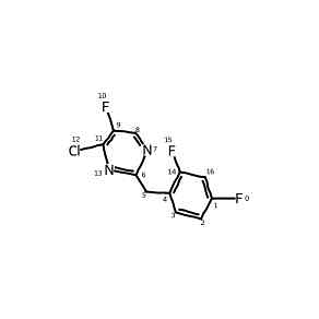 Fc1ccc(Cc2ncc(F)c(Cl)n2)c(F)c1